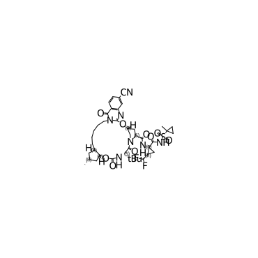 C[C@@H]1C[C@H]2CCCCCn3c(nc4cc(C#N)ccc4c3=O)O[C@@H]3C[C@@H](C(=O)N[C@]4(C(=O)NS(=O)(=O)C5(C)CC5)C[C@H]4C(F)F)N(C3)C(=O)[C@H](C(C)(C)C)NC(=O)O[C@@H]2C1